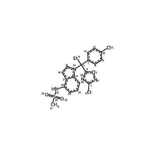 CCc1noc(C(CC)(c2ccc(Cl)cc2)n2ccc3c(NS(C)(=O)=O)cccc32)n1